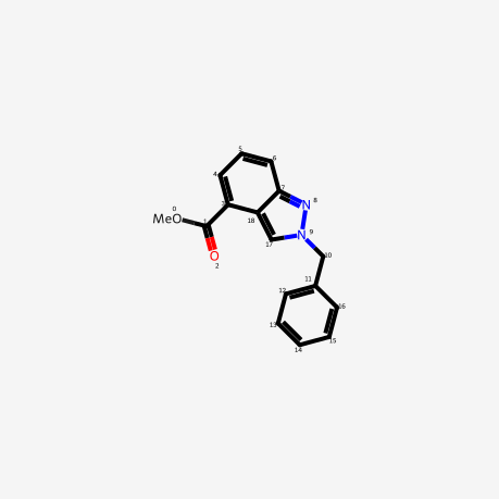 COC(=O)c1cccc2nn(Cc3ccccc3)cc12